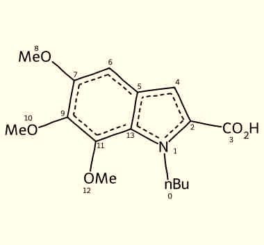 CCCCn1c(C(=O)O)cc2cc(OC)c(OC)c(OC)c21